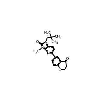 Cn1c(=O)n(CC(C)(C)C)c2ccc(-c3ccc4c(c3)C(=O)CCO4)nc21